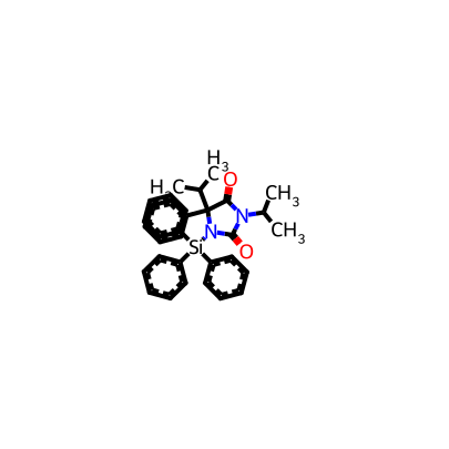 CC(C)N1C(=O)N([Si](c2ccccc2)(c2ccccc2)c2ccccc2)C(c2ccccc2)(C(C)C)C1=O